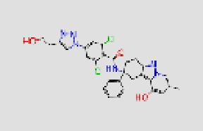 Cc1cc(O)c2c3c(nn2c1)CCC(NC(=O)c1c(Cl)cc(-n2cc(CCO)nn2)cc1Cl)(c1ccccc1)C3